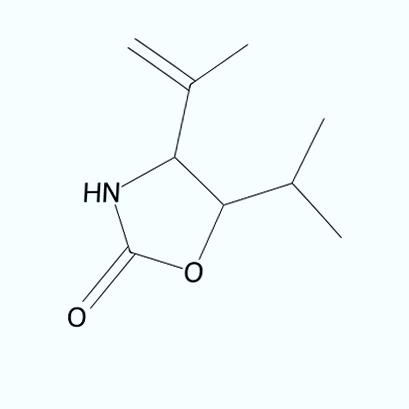 C=C(C)C1NC(=O)OC1C(C)C